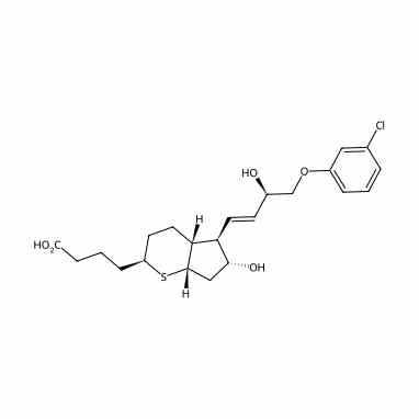 O=C(O)CCC[C@H]1CC[C@@H]2[C@@H](C=C[C@@H](O)COc3cccc(Cl)c3)[C@H](O)C[C@@H]2S1